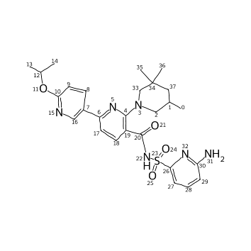 CC1CN(c2nc(-c3ccc(OC(C)C)nc3)ccc2C(=O)NS(=O)(=O)c2cccc(N)n2)CC(C)(C)C1